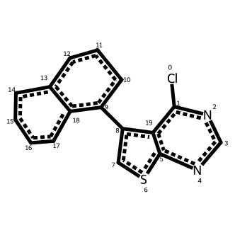 Clc1ncnc2scc(-c3cccc4ccccc34)c12